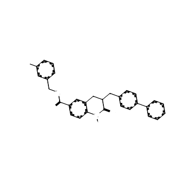 CN1C(=O)C(Cc2ccc(-c3ccccc3)cc2)Cc2cc(C(=O)NCc3cccc(F)c3)ccc21